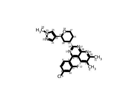 Cc1cc2c(-c3ccc(Cl)cc3F)nc([C@H]3CCO[C@H](c4cnn(C)c4)C3)nc2nc1C